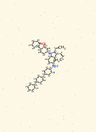 C=Cc1c(/C=C\C)c2cc(Nc3ccc(-c4ccc(-c5ccccc5)cc4)cc3)ccc2n1-c1ccc2c(c1)oc1ccccc12